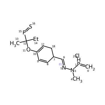 C=[PH](Cl)N(C)/N=C/C1C=CC(OC(C)(CC)P=S)=CC1